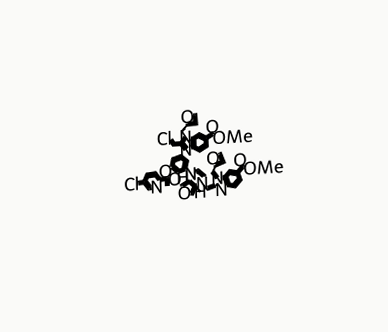 COC(=O)c1ccc2nc(CCl)n(C[C@@H]3CCO3)c2c1.COC(=O)c1ccc2nc(CN3CCN(c4cccc5c4OC(C)(c4ccc(Cl)cn4)O5)[C@H]4COC[C@H]43)n(C[C@@H]3CCO3)c2c1